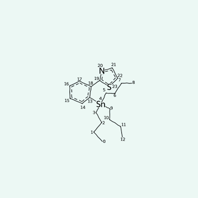 CCC[CH2][Sn]([CH2]CCC)([CH2]CCC)[c]1ccccc1-c1nccs1